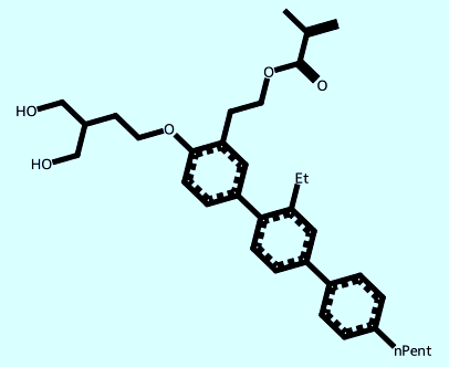 C=C(C)C(=O)OCCc1cc(-c2ccc(-c3ccc(CCCCC)cc3)cc2CC)ccc1OCCC(CO)CO